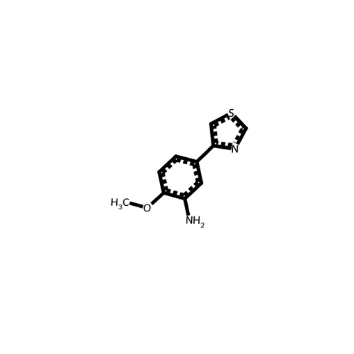 COc1ccc(-c2cscn2)cc1N